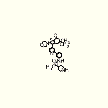 CN(C(=O)Nc1cccc(-c2cc(-c3c(N4CCOCC4)sc4c3CC(C)(C)CC4=O)ccn2)c1)C1CCNCC1